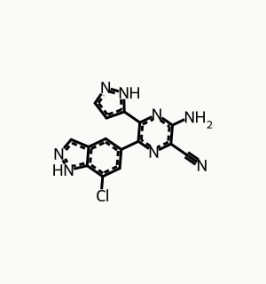 N#Cc1nc(-c2cc(Cl)c3[nH]ncc3c2)c(-c2ccn[nH]2)nc1N